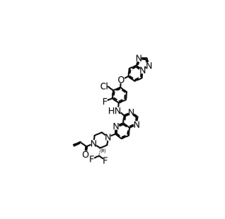 C=CC(=O)N1CCN(c2ccc3ncnc(Nc4ccc(Oc5ccn6ncnc6c5)c(Cl)c4F)c3n2)C[C@@H]1C(F)F